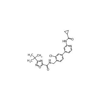 CC(C)(C)c1noc(C(=O)NCc2ccc(-c3ccnc(NC(=O)C4CC4)c3)cc2Cl)n1